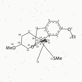 CCOc1ccc2c(c1)C1(N=C(SC)N(C)C1=O)C1(CCC(OC)CC1)C2